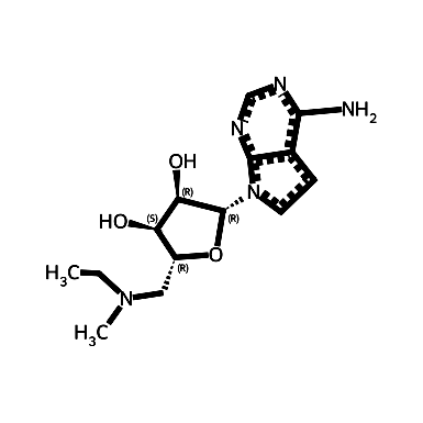 CCN(C)C[C@H]1O[C@@H](n2ccc3c(N)ncnc32)[C@H](O)[C@@H]1O